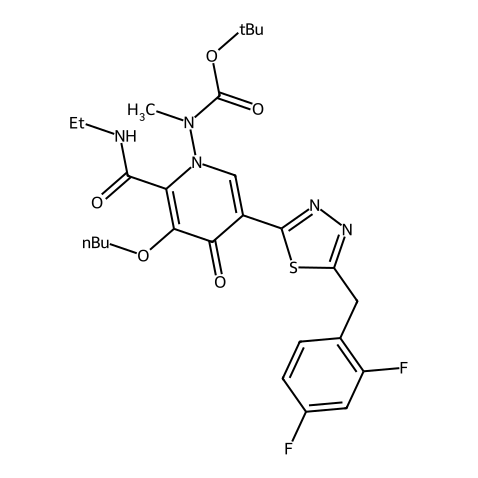 CCCCOc1c(C(=O)NCC)n(N(C)C(=O)OC(C)(C)C)cc(-c2nnc(Cc3ccc(F)cc3F)s2)c1=O